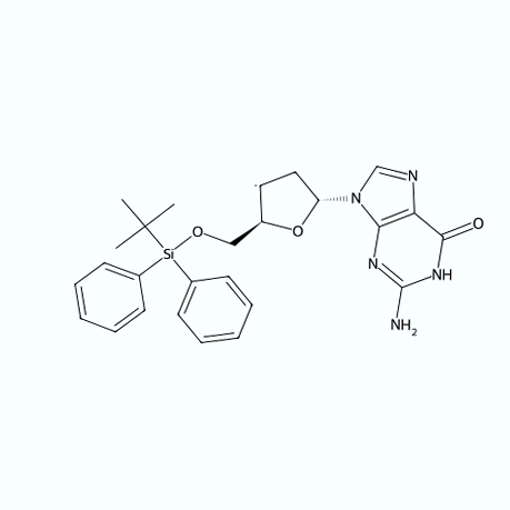 CC(C)(C)[Si](OC[C@H]1[CH]C[C@H](n2cnc3c(=O)[nH]c(N)nc32)O1)(c1ccccc1)c1ccccc1